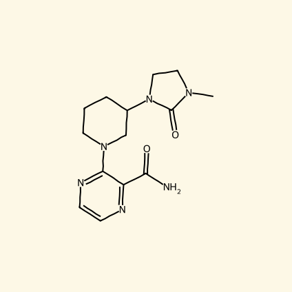 CN1CCN(C2CCCN(c3nccnc3C(N)=O)C2)C1=O